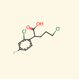 O=C(O)C(CCCCl)c1ccc(F)cc1Cl